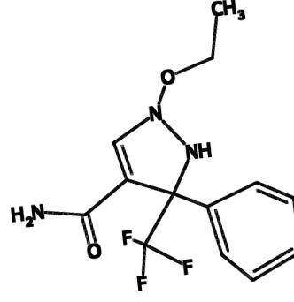 CCON1C=C(C(N)=O)C(c2ccccc2)(C(F)(F)F)N1